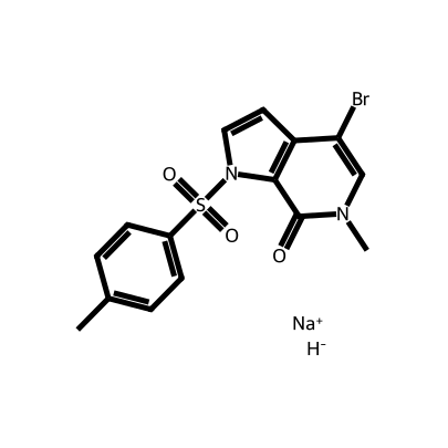 Cc1ccc(S(=O)(=O)n2ccc3c(Br)cn(C)c(=O)c32)cc1.[H-].[Na+]